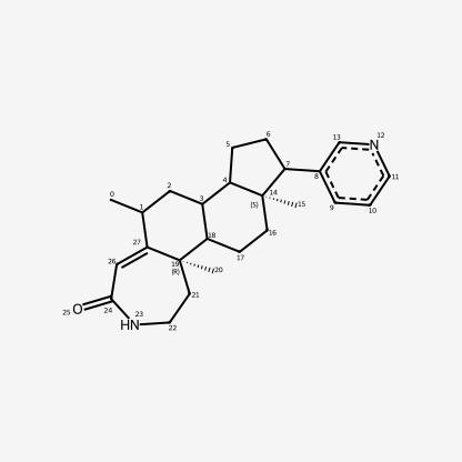 CC1CC2C3CCC(c4cccnc4)[C@@]3(C)CCC2[C@@]2(C)CCNC(=O)C=C12